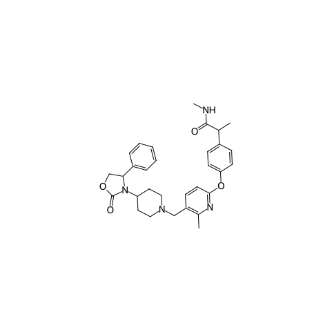 CNC(=O)C(C)c1ccc(Oc2ccc(CN3CCC(N4C(=O)OCC4c4ccccc4)CC3)c(C)n2)cc1